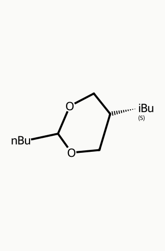 CCCCC1OCC([C@@H](C)CC)CO1